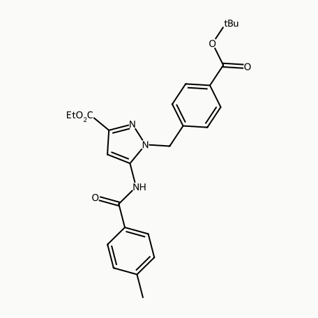 CCOC(=O)c1cc(NC(=O)c2ccc(C)cc2)n(Cc2ccc(C(=O)OC(C)(C)C)cc2)n1